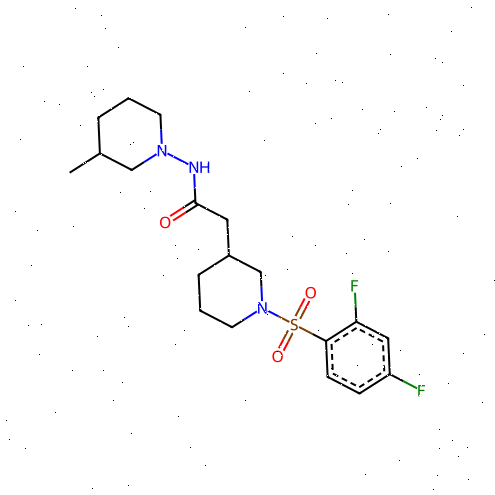 CC1CCCN(NC(=O)CC2CCCN(S(=O)(=O)c3ccc(F)cc3F)C2)C1